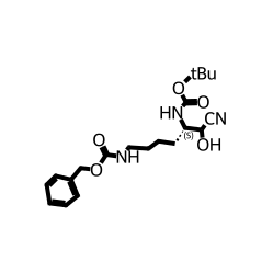 CC(C)(C)OC(=O)N[C@@H](CCCCNC(=O)OCc1ccccc1)C(O)C#N